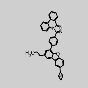 CCCc1cc(-c2ccc(-c3nnc4c5ccccc5c5ccccc5n34)cc2)c2oc3ccc(C4C5CC54)cc3c2c1